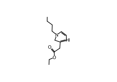 CCCCN1C=CC=C(CC(=O)OCC)C1.I